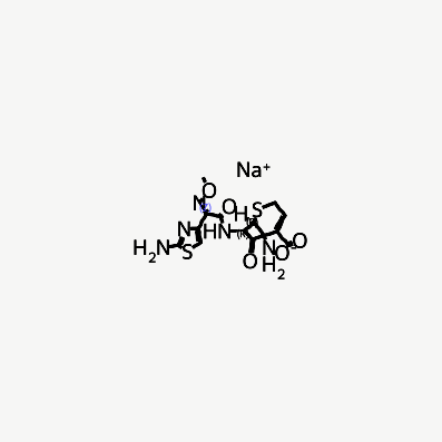 CO/N=C(\C(=O)N[C@@H]1C(=O)C2(N)C(C(=O)[O-])=CCS[C@H]12)c1csc(N)n1.[Na+]